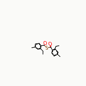 CCc1cc(C)ccc1C(=O)SC(=O)c1ccc(C)cc1CC